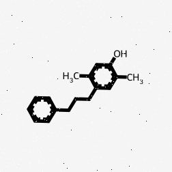 Cc1cc(CCCc2ccccc2)c(C)cc1O